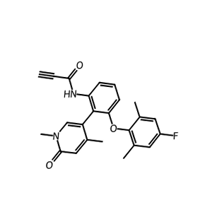 C#CC(=O)Nc1cccc(Oc2c(C)cc(F)cc2C)c1-c1cn(C)c(=O)cc1C